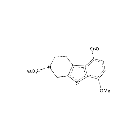 CCOC(=O)N1CCc2c(sc3c(OC)ccc(C=O)c23)C1